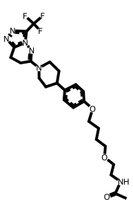 CC(=O)NCCOCCCCOc1ccc(C2CCN(C3=Nn4c(nnc4C(F)(F)F)CC3)CC2)cc1